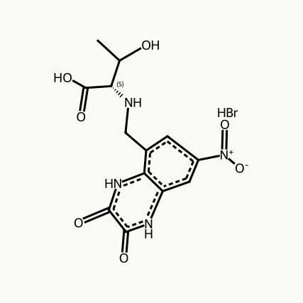 Br.CC(O)[C@H](NCc1cc([N+](=O)[O-])cc2[nH]c(=O)c(=O)[nH]c12)C(=O)O